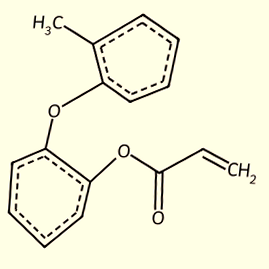 C=CC(=O)Oc1ccccc1Oc1ccccc1C